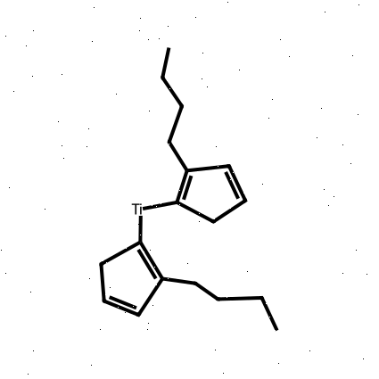 CCCCC1=[C]([Ti][C]2=C(CCCC)C=CC2)CC=C1